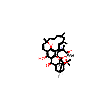 COC(=O)/C(C)=C\C[C@]12OC(C)(C)C3C[C@@H](C=C4C(=O)c5c(O)c6c(c(CC=C(C)C)c5O[C@]431)OC(C)(CCC=C(C)C)C=C6)C2=O